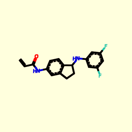 C=CC(=O)Nc1ccc2c(c1)CCC2Nc1cc(F)cc(F)c1